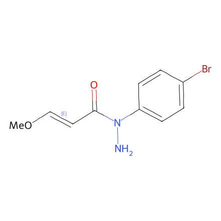 CO/C=C/C(=O)N(N)c1ccc(Br)cc1